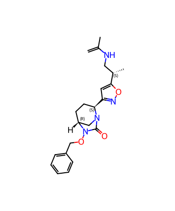 C=C(C)NC[C@H](C)c1cc([C@@H]2CC[C@@H]3CN2C(=O)N3OCc2ccccc2)no1